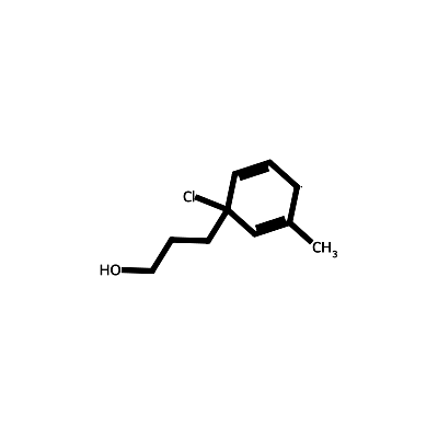 CC1=CC(Cl)(CCCO)C=C[CH]1